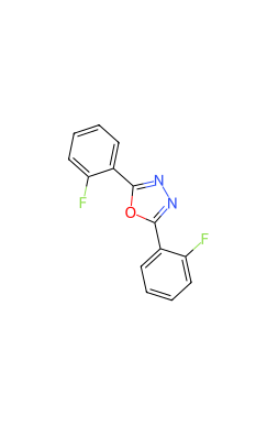 Fc1ccccc1-c1nnc(-c2ccccc2F)o1